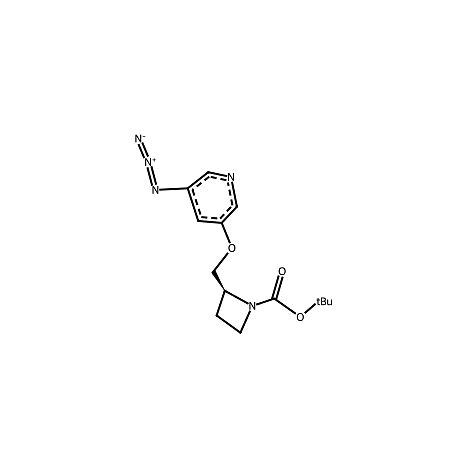 CC(C)(C)OC(=O)N1CC[C@H]1COc1cncc(N=[N+]=[N-])c1